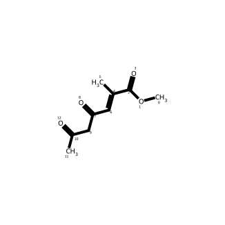 COC(=O)C(C)=CC(=O)CC(C)=O